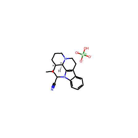 CC[C@@]12CCCN3CCc4c(n(c5ccccc45)C(C#N)C1)[C@H]32.[O-][Cl+3]([O-])([O-])O